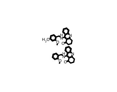 COc1ccccc1CNc1c2c(nc3ccccc13)CCCC2=O.COc1ccccc1CNc1c2c(nc3ccccc13)CCCC2=O.O